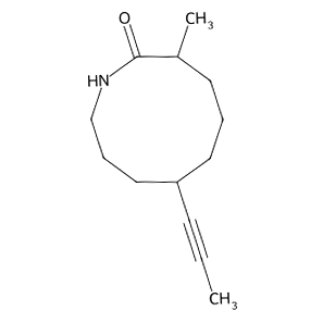 CC#CC1CCCNC(=O)C(C)CCC1